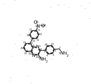 NCc1ccc(-c2nc3c(-c4ccc([N+](=O)[O-])cc4)cccc3nc2N)cc1